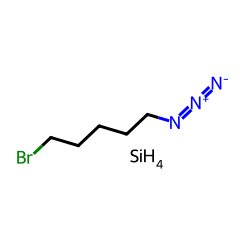 [N-]=[N+]=NCCCCCBr.[SiH4]